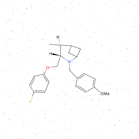 COc1ccc(CN2C3CC(C3)[C@H](C)[C@H]2COc2ccc(F)cc2)cc1